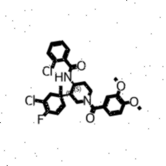 COc1ccc(C(=O)N2CC[C@H](NC(=O)c3ccccc3Cl)[C@H](C3(C)C=CC(F)=C(Cl)C3)C2)cc1OC